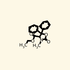 CCOC(=O)C1N(C)C(=O)OC1(c1ccccc1)c1ccccc1